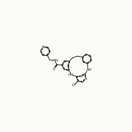 O=C(NCc1ccncc1)c1cc2cc(c1)Nc1nc(ncc1Cl)Nc1cccc(c1)CC2